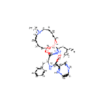 CC(C)C[C@@H](NC(=O)[C@@H](Cc1ccccc1)NC(=O)c1cnccn1)B1OCCCCN(C)CCCCO1